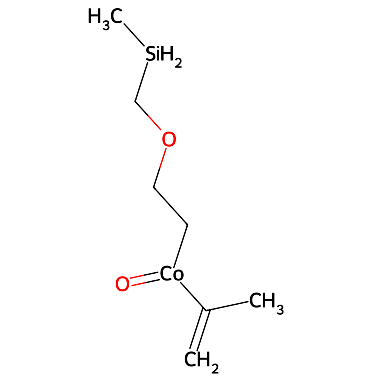 C=[C](C)[Co](=[O])[CH2]COC[SiH2]C